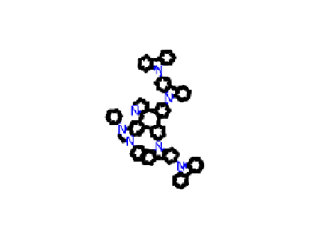 c1ccc(-n2ccn(-c3ccccc3)c3cc4c(cc32)c2cc(-n3c5ccccc5c5cc(-n6c7ccccc7c7ccccc76)ccc53)ccc2c2ccc(-n3c5ccccc5c5cc(-n6c7ccccc7c7ccccc76)ccc53)cc2c2cccnc24)cc1